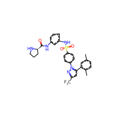 Cc1ccc(C)c(-c2cc(C(F)(F)F)nn2-c2ccc(S(=O)(=O)Nc3cccc(NC(=O)[C@H]4CCCN4)c3)cc2)c1